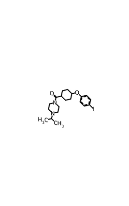 CC(C)N1CCN(C(=O)C2CCC(Oc3ccc(I)cc3)CC2)CC1